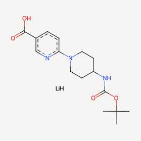 CC(C)(C)OC(=O)NC1CCN(c2ccc(C(=O)O)cn2)CC1.[LiH]